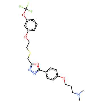 CN(C)CCCOc1ccc(-c2nnc(CSCCOc3cccc(OC(F)(F)F)c3)o2)cc1